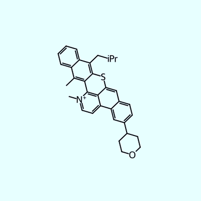 Cc1c2c(c(CC(C)C)c3ccccc13)Sc1cc3ccc(C4CCOCC4)cc3c3cc[n+](C)c-2c13